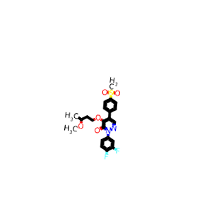 COC(C)CCOc1c(-c2ccc(S(C)(=O)=O)cc2)cnn(-c2ccc(F)c(F)c2)c1=O